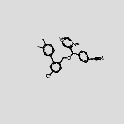 Cc1ccc(-c2cc(Cl)ccc2COC(c2ccc(C#N)cc2)c2cncn2C)cc1C